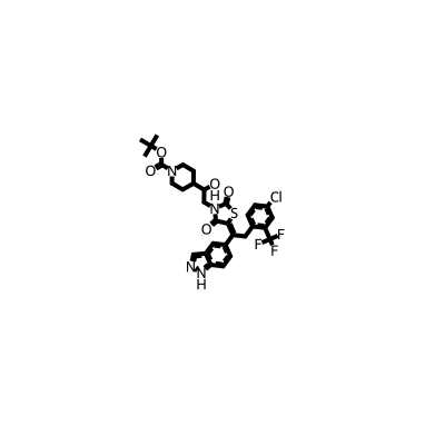 CC(C)(C)OC(=O)N1CCC(C(O)CN2C(=O)SC(=C(Cc3ccc(Cl)cc3C(F)(F)F)c3ccc4[nH]ncc4c3)C2=O)CC1